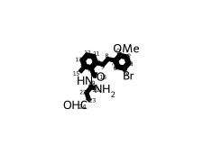 COc1ccc(Br)cc1CCc1cccc(C)c1C(=O)NC(N)CCC=O